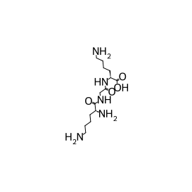 NCCCC[C@H](NC(=O)CNC(=O)[C@@H](N)CCCCN)C(=O)O